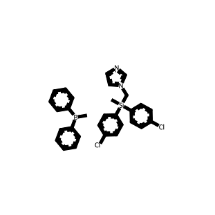 CB(c1ccccc1)c1ccccc1.C[Si](Cn1ccnc1)(c1ccc(Cl)cc1)c1ccc(Cl)cc1